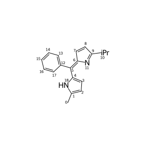 Cc1ccc(/C(=C2/C=CC(C(C)C)=N2)c2ccccc2)[nH]1